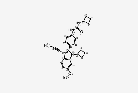 CCOc1ccc2c(C#CN)c(-c3ccc(NC(=O)NC4CCC4)cc3)n(C3CCC3)c2c1